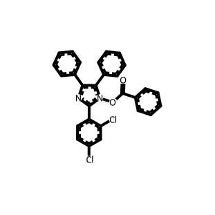 O=C(On1c(-c2ccc(Cl)cc2Cl)nc(-c2ccccc2)c1-c1ccccc1)c1ccccc1